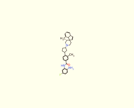 Cc1cc(C(=O)Nc2cc(F)ccc2N)ccc1C1CCC(N2CCC3(C=CC4C=CC=CC43)[C@@H](C)C2)C1